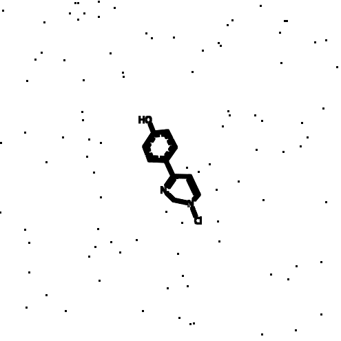 Oc1ccc(C2=NCN(Cl)C=C2)cc1